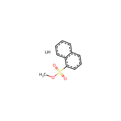 COS(=O)(=O)c1cccc2ccccc12.[LiH]